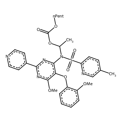 CCCCCOC(=O)OC(C)N(c1nc(-c2ccncc2)nc(OC)c1Oc1ccccc1OC)S(=O)(=O)c1ccc(C)cn1